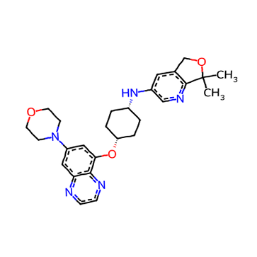 CC1(C)OCc2cc(N[C@H]3CC[C@@H](Oc4cc(N5CCOCC5)cc5nccnc45)CC3)cnc21